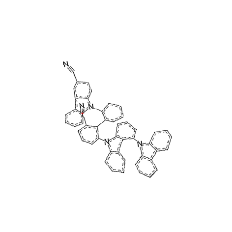 N#Cc1ccc2c(c1)c1ccccc1n2-c1ccccc1-c1c(C#N)cccc1-n1c2ccccc2c2c(-n3c4ccccc4c4ccccc43)cccc21